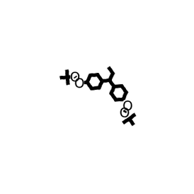 CCC(C1CCC(OOC(C)(C)C)CC1)C1CCC(OOC(C)(C)C)CC1